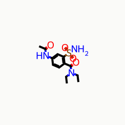 CCN(CC)C(=O)c1ccc(NC(C)=O)cc1S(N)(=O)=O